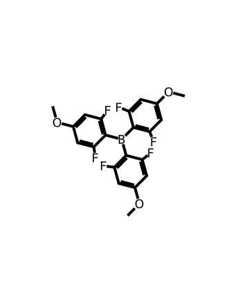 COc1cc(F)c(B(c2c(F)cc(OC)cc2F)c2c(F)cc(OC)cc2F)c(F)c1